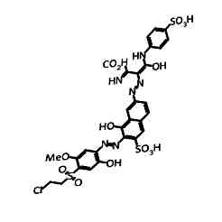 COc1cc(/N=N/c2c(S(=O)(=O)O)cc3ccc(/N=N/C(C(=N)C(=O)O)=C(\O)Nc4ccc(S(=O)(=O)O)cc4)cc3c2O)c(O)cc1S(=O)(=O)CCCl